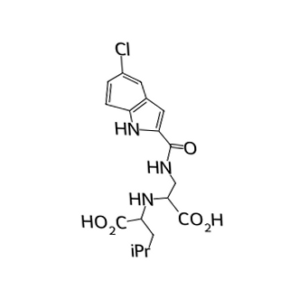 CC(C)CC(NC(CNC(=O)c1cc2cc(Cl)ccc2[nH]1)C(=O)O)C(=O)O